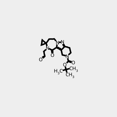 CC(C)(C)OC(=O)N1CCc2nn3c(c2C1)C(=O)N(CC=O)C1(CC3)CC1